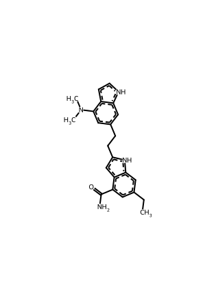 CCc1cc(C(N)=O)c2cc(CCc3cc(N(C)C)c4cc[nH]c4c3)[nH]c2c1